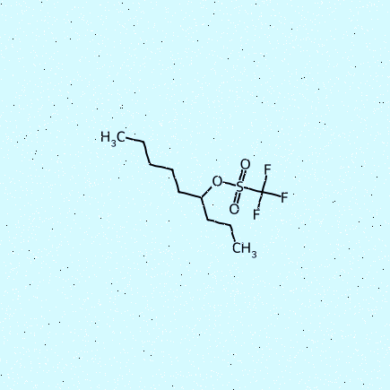 CCCCCC(CCC)OS(=O)(=O)C(F)(F)F